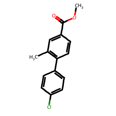 COC(=O)c1ccc(-c2ccc(Cl)cc2)c(C)c1